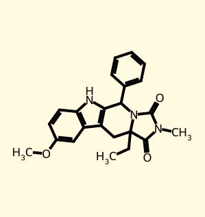 CCC12Cc3c([nH]c4ccc(OC)cc34)C(c3ccccc3)N1C(=O)N(C)C2=O